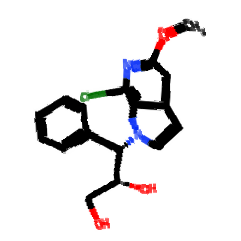 COc1cc2ccn([C@@H](c3ccccc3)[C@H](O)CO)c2c(Cl)n1